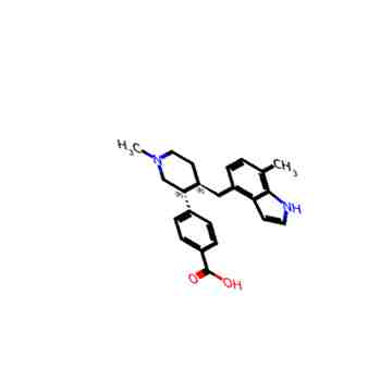 Cc1ccc(C[C@@H]2CCN(C)C[C@H]2c2ccc(C(=O)O)cc2)c2cc[nH]c12